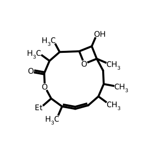 CCC1OC(=O)C(C)C(C)C2OC(C)(CC(C)C(C)C=C=C1C)C2O